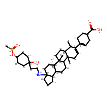 CC1C(C2=CCC(C(=O)O)CC2)=CCC2(C)C1CCC1(C)C2CCC2C3CCCC3(NCCC3(O)CCC(OS(C)=O)CC3)CC[C@]21C